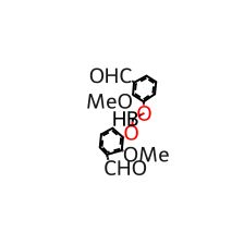 COc1c(C=O)cccc1OBOc1cccc(C=O)c1OC